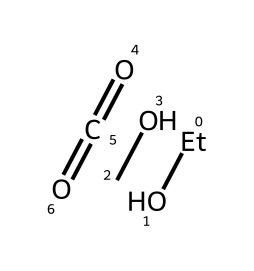 CCO.CO.O=C=O